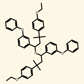 CCOc1ccc(C(C)(C)CC(OC(CC(C)(C)c2ccc(OCC)cc2)c2cccc(Oc3ccccc3)c2)c2cccc(Oc3ccccc3)c2)cc1